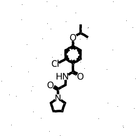 CC(C)Oc1ccc(C(=O)NCC(=O)N2CCCC2)c(Cl)c1